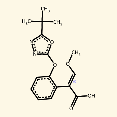 CO/C=C(/C(=O)O)c1ccccc1Oc1nnc(C(C)(C)C)o1